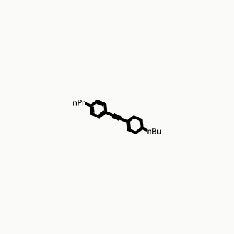 CCCCC1CC=C(C#Cc2ccc(CCC)cc2)CC1